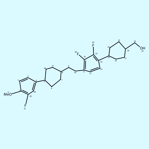 COc1ccc(C2CCC(CCc3ccc(C4CCC(CO)CC4)c(F)c3F)CC2)cc1F